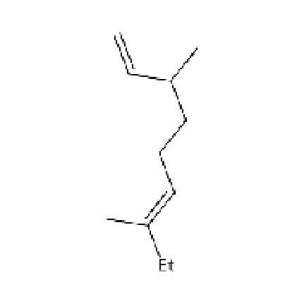 C=CC(C)CC/C=C(\C)CC